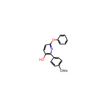 COc1ccc(-c2nc(Oc3ccccc3)ccc2O)cc1